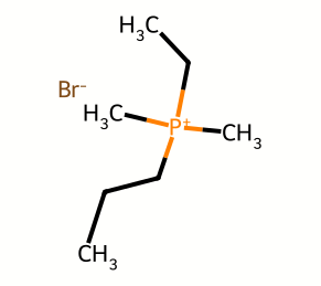 CCC[P+](C)(C)CC.[Br-]